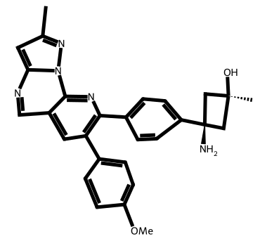 COc1ccc(-c2cc3cnc4cc(C)nn4c3nc2-c2ccc([C@]3(N)C[C@@](C)(O)C3)cc2)cc1